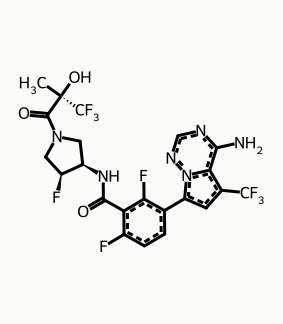 C[C@@](O)(C(=O)N1C[C@H](F)[C@H](NC(=O)c2c(F)ccc(-c3cc(C(F)(F)F)c4c(N)ncnn34)c2F)C1)C(F)(F)F